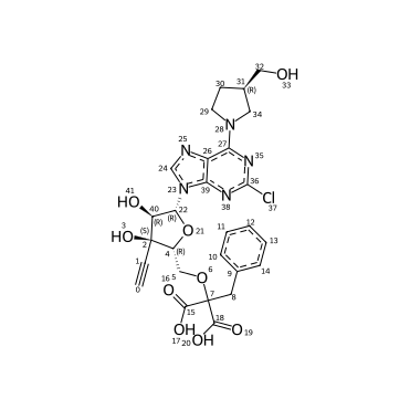 C#C[C@@]1(O)[C@@H](COC(Cc2ccccc2)(C(=O)O)C(=O)O)O[C@@H](n2cnc3c(N4CC[C@@H](CO)C4)nc(Cl)nc32)[C@@H]1O